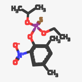 CCOP(=S)(Oc1c(C)cc(C)cc1[N+](=O)[O-])OC(C)C